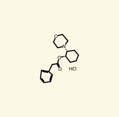 Cl.O=C(Cc1ccccc1)O[C@@H]1CCCC[C@H]1N1CCOCC1